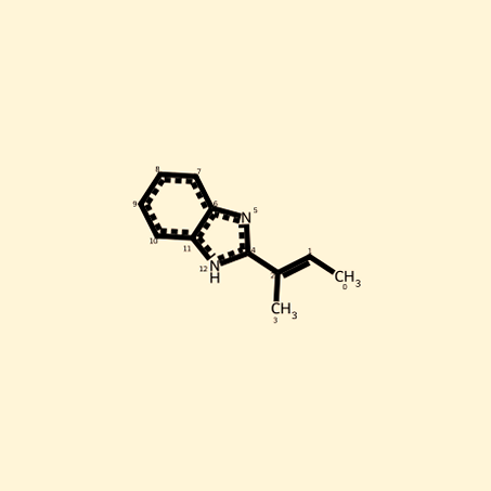 CC=C(C)c1nc2ccccc2[nH]1